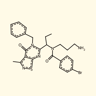 CCC(c1nc2snc(C)c2c(=O)n1Cc1ccccc1)N(CCCN)C(=O)c1ccc(Br)cc1